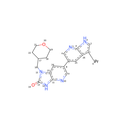 CC(C)c1c[nH]c2ncc(-c3cnc4[nH]c(=O)n(CC5CCOCC5)c4c3)cc12